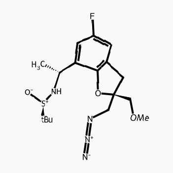 COC[C@]1(CN=[N+]=[N-])Cc2cc(F)cc([C@@H](C)N[S@+]([O-])C(C)(C)C)c2O1